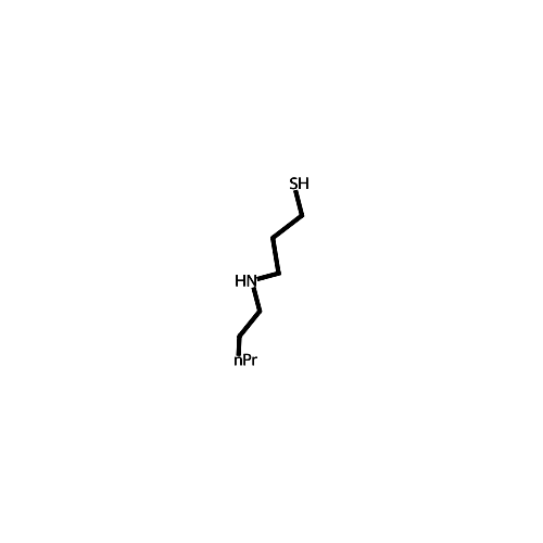 CCCCCNCCCS